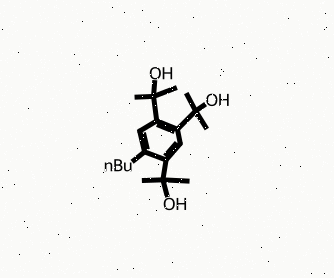 CCCCc1cc(C(C)(C)O)c(C(C)(C)O)cc1C(C)(C)O